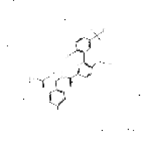 COc1ccc(C(=O)N[C@@H](CC(=O)O)c2ccc(C)cc2)nc1-c1cc(C(F)(F)F)ccc1Cl